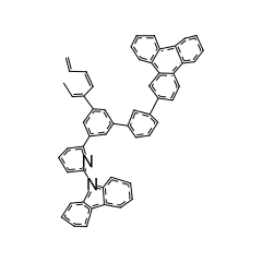 C=C/C=C\C(=C/C)c1cc(-c2cccc(-c3ccc4c5ccccc5c5ccccc5c4c3)c2)cc(-c2cccc(-n3c4ccccc4c4ccccc43)n2)c1